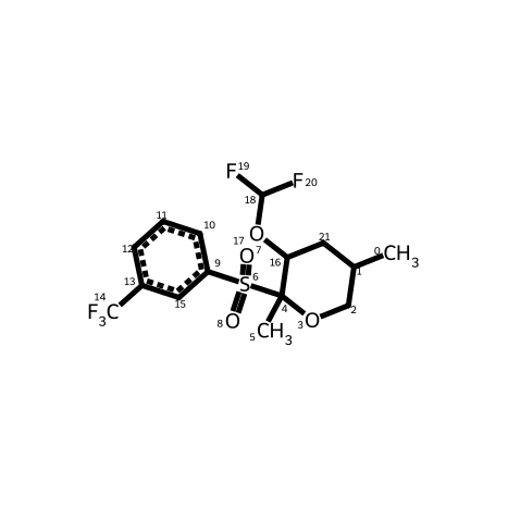 CC1COC(C)(S(=O)(=O)c2cccc(C(F)(F)F)c2)C(OC(F)F)C1